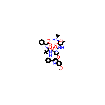 CCCC(NC(=O)N1C[C@@H](Oc2cc(-c3ccccc3)nc3cc(OC)ccc23)C[C@H]1C(=O)N[C@H](C(=O)N[C@H](C(=O)OC)C1CCCCC1)C(C)(C)C)C(=O)C(=O)NC1CC1